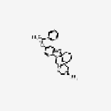 C[C@H](Oc1ccc(C(CN2CCN(C)CC2)C2(O)CCCCC2)cc1)c1ccccc1